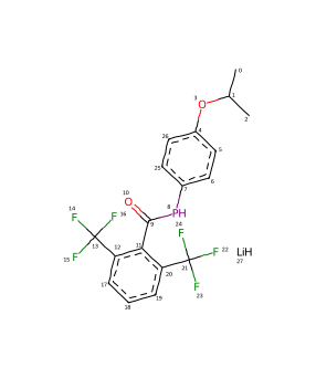 CC(C)Oc1ccc(PC(=O)c2c(C(F)(F)F)cccc2C(F)(F)F)cc1.[LiH]